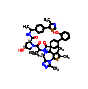 Cc1ncsc1-c1ccc(C(C)NC(=O)[C@@H]2C[C@@H](O)CN2C(=O)C(NC(=O)C2(C3=N[C@@H](CC(=O)O)c4nnc(C)n4-c4sc(C)c(C)c43)C=CC(c3ccccc3O)=CC2)C(C)(C)C)cc1